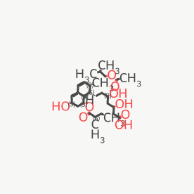 CC(=O)OCC(C)C.CC[C@H](C)C(=O)O[C@H]1C[C@H](O)C=C2C=C[C@H](C)[C@H](CC[C@@H](O)CC(O)CC(=O)O)[C@H]21